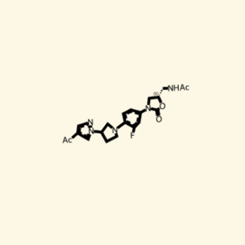 CC(=O)NC[C@H]1CN(c2ccc(N3CCC(n4cc(C(C)=O)cn4)C3)c(F)c2)C(=O)O1